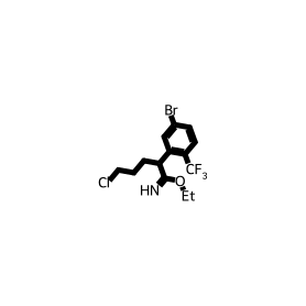 CCOC(=N)C(CCCCl)c1cc(Br)ccc1C(F)(F)F